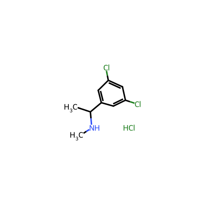 CNC(C)c1cc(Cl)cc(Cl)c1.Cl